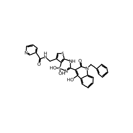 O=C(NCc1csc2c1S(O)(O)N=C(c1c(O)c3ccccc3n(Cc3ccccc3)c1=O)N2)c1cccnc1